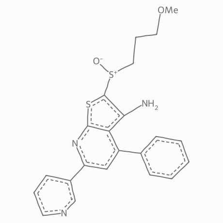 COCCC[S+]([O-])c1sc2nc(-c3cccnc3)cc(-c3ccccc3)c2c1N